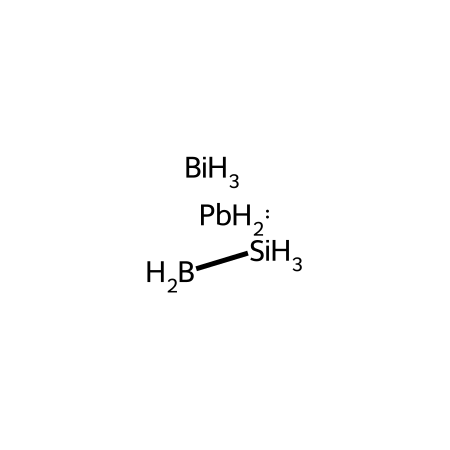 B[SiH3].[BiH3].[PbH2]